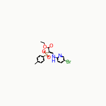 CCOC(=O)C(=CNc1ccc(Br)cn1)S(=O)(=O)c1ccc(C)cc1